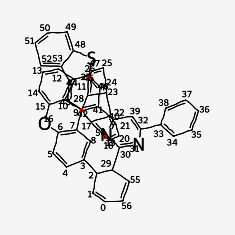 C1=CC(c2ccc3c(c2)C2(c4ccccc4O3)c3ccccc3-c3ccccc32)C(c2nc(-c3ccccc3)cc(-c3ccc4c(c3)sc3ccccc34)n2)C=C1